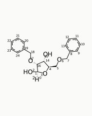 [2H][C@@]1(O)O[C@H](COCc2ccccc2)[C@@H](O)[C@H]1OCc1ccccc1